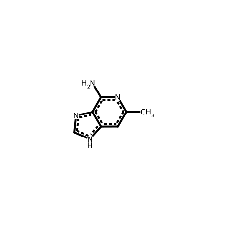 Cc1cc2[nH]cnc2c(N)n1